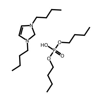 CCCCN1C=CN(CCCC)C1.CCCCOP(=O)(O)OCCCC